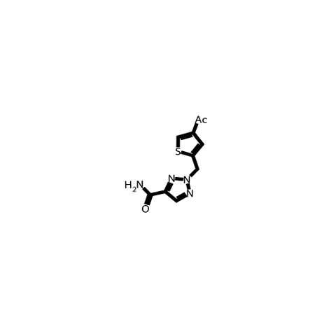 CC(=O)c1csc(Cn2ncc(C(N)=O)n2)c1